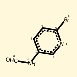 O=CNc1ccc(Br)nc1